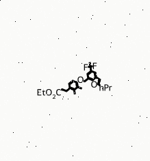 CCCc1cc2cc(C(C)(F)F)cc(COc3ccc(CCC(=O)OCC)c(C)c3C)c2o1